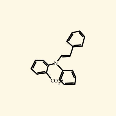 O=C(O)c1ccccc1N(C=Cc1ccccc1)c1ccccc1